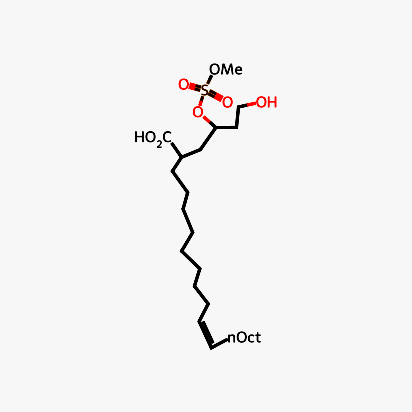 CCCCCCCC/C=C\CCCCCCCCC(CC(CCO)OS(=O)(=O)OC)C(=O)O